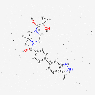 Cc1[nH]nc2cc(-c3ccc(C(=O)N4CCN(C(=O)C5(O)CC5)CC4(C)C)cc3)ccc12